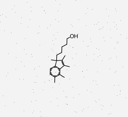 CC1=C(C)C(C)(CCCCCO)c2ccc(C)c(C)c21